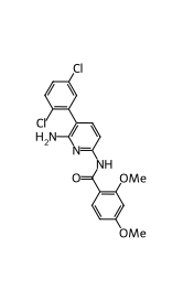 COc1ccc(C(=O)Nc2ccc(-c3cc(Cl)ccc3Cl)c(N)n2)c(OC)c1